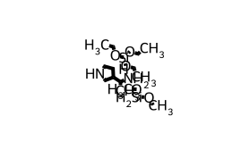 CC(N)C1CCNC1.CCO[SiH](OCC)OCC.CO[SiH2]OC